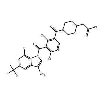 Cc1cn(C(=O)c2c(Cl)ncc(C(=O)N3CCC(CC(=O)O)CC3)c2Cl)c2c(F)cc(C(F)(F)F)cc12